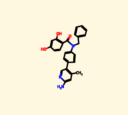 Cc1cc(N)ncc1-c1ccc(N(Cc2ccccc2)C(=O)c2ccc(O)cc2O)cc1